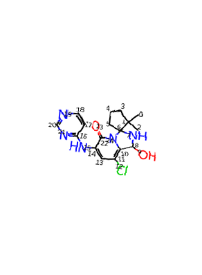 CC1(C)CCCC12NC(O)c1c(Cl)cc(Nc3ccncn3)c(=O)n12